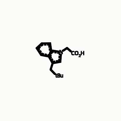 CC(C)(C)Cc1cn(CC(=O)O)c2ccccc12